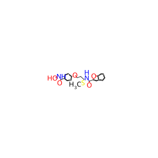 CSC(CCOc1ccc(C(=O)NO)cc1)NC(=O)c1cc2ccccc2o1